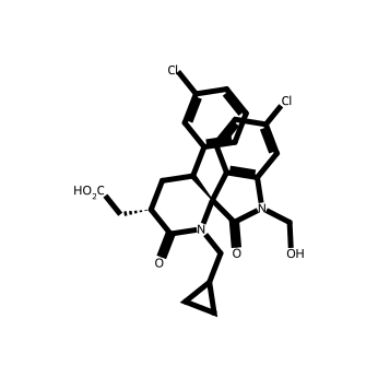 O=C(O)C[C@@H]1CC(c2cccc(Cl)c2)[C@@]2(C(=O)N(CO)c3cc(Cl)ccc32)N(CC2CC2)C1=O